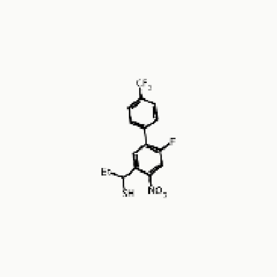 CCC(S)c1cc(-c2ccc(C(F)(F)F)cc2)c(F)cc1[N+](=O)[O-]